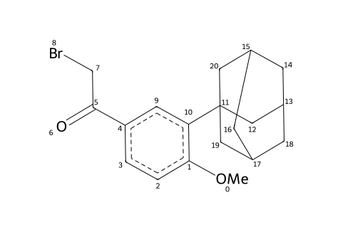 COc1ccc(C(=O)CBr)cc1C12CC3CC(CC(C3)C1)C2